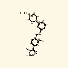 CON(C)C(=O)c1ccc(COc2cccc(C3CCN(C(=O)O)CC3)n2)c(C)c1